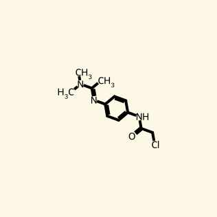 C/C(=N\c1ccc(NC(=O)CCl)cc1)N(C)C